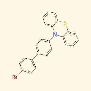 Brc1ccc(-c2ccc(N3c4ccccc4Sc4ccccc43)cc2)cc1